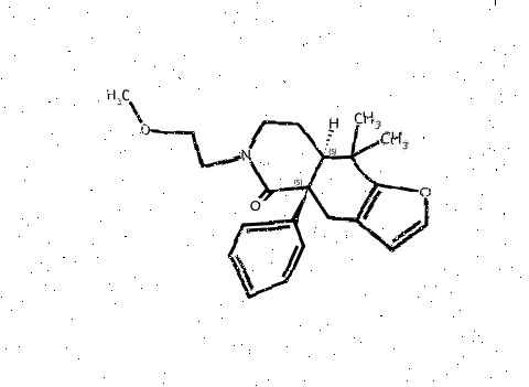 COCCN1CC[C@H]2C(C)(C)c3occc3C[C@]2(c2ccccc2)C1=O